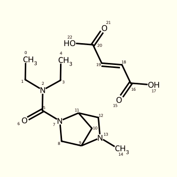 CCN(CC)C(=O)N1CC2CC1CN2C.O=C(O)C=CC(=O)O